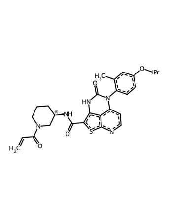 C=CC(=O)N1CCC[C@@H](NC(=O)c2sc3nccc4c3c2NC(=O)N4c2ccc(OC(C)C)cc2C)C1